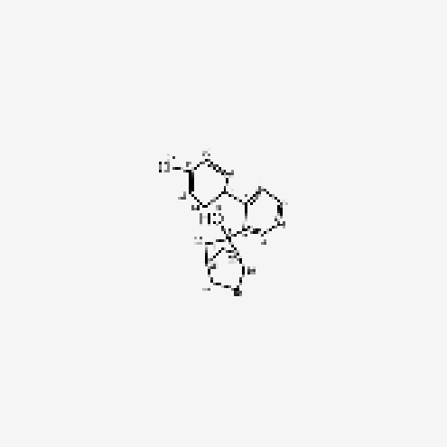 OC1(c2ccccc2C2C=CC(Cl)=CC2)CC2CCCC1C2